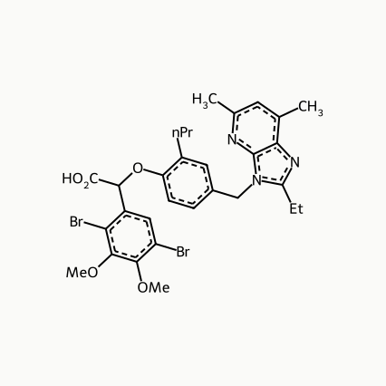 CCCc1cc(Cn2c(CC)nc3c(C)cc(C)nc32)ccc1OC(C(=O)O)c1cc(Br)c(OC)c(OC)c1Br